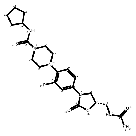 CC(=O)NC[C@H]1CN(c2ccc(N3CCN(C(=S)NC4CCCC4)CC3)c(F)c2)C(=O)O1